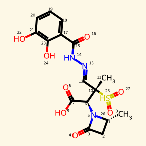 C[C@@H]1CC(=O)N1[C@@H](C(=O)O)[C@](C)(/C=N/NC(=O)c1cccc(O)c1O)[SH](=O)=O